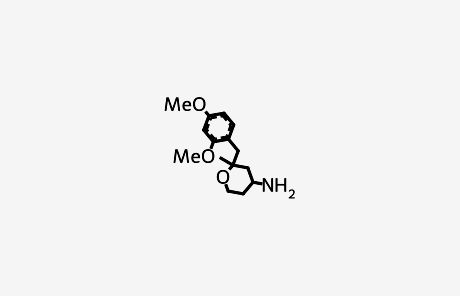 COc1ccc(CC2(C)CC(N)CCO2)c(OC)c1